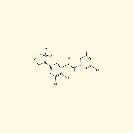 Cc1cc(Cl)cc(NC(=O)c2cc(N3CCCS3(=O)=O)cc(Cl)c2Cl)c1